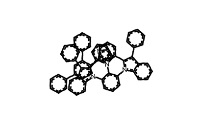 c1ccc(-c2ccc(-c3nccn3-c3c(-n4c(-c5ccccc5)c(-c5ccccc5)c5ccccc54)cccc3-n3c(-c4ccccc4)c(-c4ccccc4)c4ccccc43)c(-c3ccccc3)c2)cc1